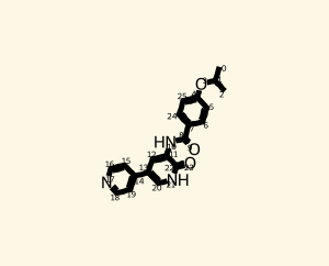 CC(C)Oc1ccc(C(=O)Nc2cc(-c3ccncc3)c[nH]c2=O)cc1